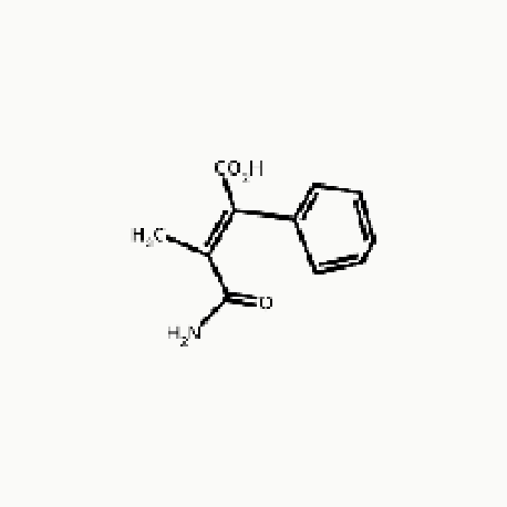 CC(C(N)=O)=C(C(=O)O)c1ccccc1